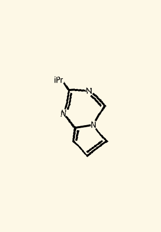 CC(C)c1ncn2cccc2n1